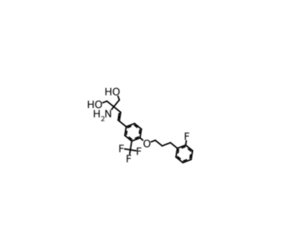 NC(/C=C/c1ccc(OCCCc2ccccc2F)c(C(F)(F)F)c1)(CO)CO